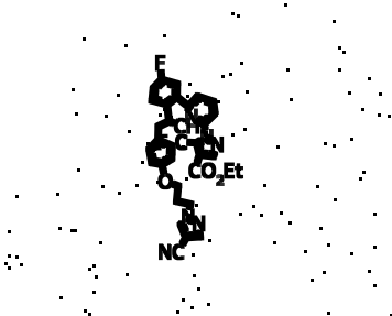 CCOC(=O)c1cnn(-c2cccc(-c3cc(F)ccc3C(C)Cc3ccc(OCCCn4cc(C#N)cn4)cc3)n2)c1C(F)(F)F